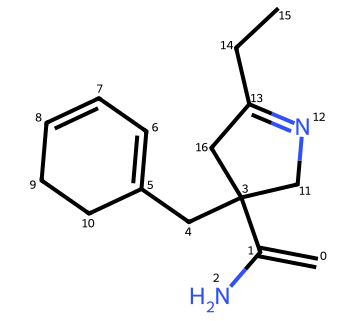 C=C(N)C1(CC2=CC=CCC2)CN=C(CC)C1